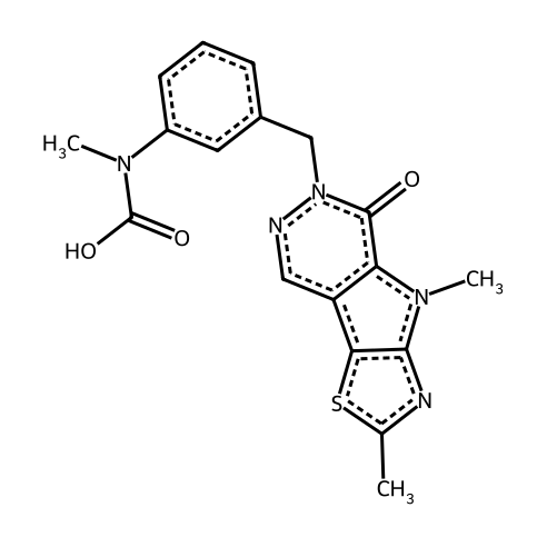 Cc1nc2c(s1)c1cnn(Cc3cccc(N(C)C(=O)O)c3)c(=O)c1n2C